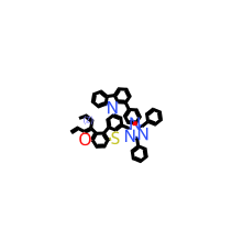 C=Cc1oc2ccc3sc4c(-c5nc(-c6ccccc6)nc(-c6ccccc6)n5)cc(-n5c6ccccc6c6cccc(-c7ccccc7)c65)cc4c3c2c1/C=C\C